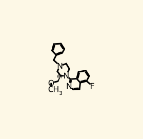 COC[C@H]1CN(Cc2ccccc2)CCN1c1nccc2c(F)cccc12